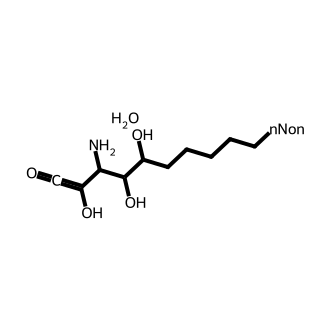 CCCCCCCCCCCCCCC(O)C(O)C(N)C(O)=C=O.O